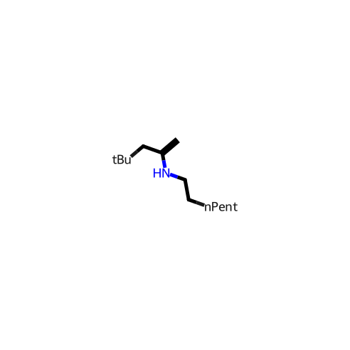 C=C(CC(C)(C)C)NCCCCCCC